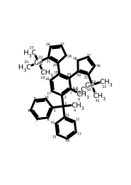 Cc1c(C(C)(c2ccccc2)c2ccccc2)ccc(C2=[C]([Ge]([CH3])([CH3])[CH3])C=CC2)c1C1=[C]([Ge]([CH3])([CH3])[CH3])C=CC1